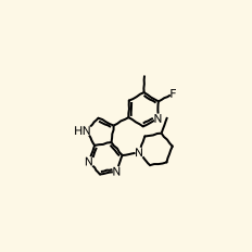 Cc1cc(-c2c[nH]c3ncnc(N4CCCC(C)C4)c23)cnc1F